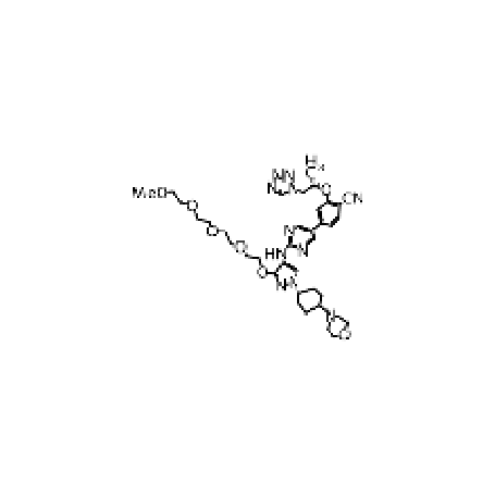 COCCOCCOCCOCCOc1nn(C2CCC(N3CCOCC3)CC2)cc1Nc1ncc(-c2ccc(C#N)c(O[C@@H](C)Cn3cnnn3)c2)cn1